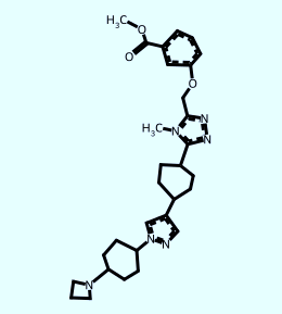 COC(=O)c1cccc(OCc2nnc(C3CCC(c4cnn(C5CCC(N6CCC6)CC5)c4)CC3)n2C)c1